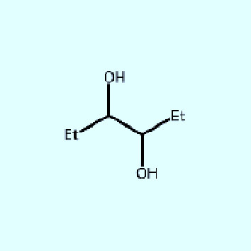 CCC(O)C(O)CC